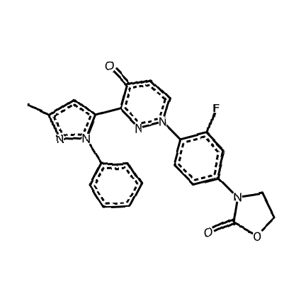 Cc1cc(-c2nn(-c3ccc(N4CCOC4=O)cc3F)ccc2=O)n(-c2ccccc2)n1